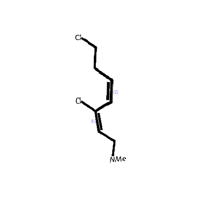 CNC/C=C(Cl)\C=C/CCCl